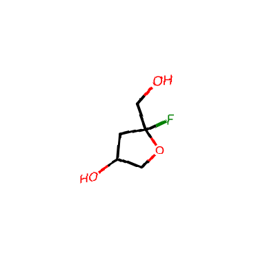 OCC1(F)CC(O)CO1